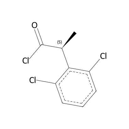 C[C@H](C(=O)Cl)c1c(Cl)cccc1Cl